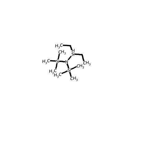 CC[SiH](CC)N([Si](C)(C)C)[Si](C)(C)C